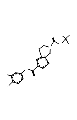 Cc1cc(NC(=O)c2ccc3c(c2)CCN(C(=O)OC(C)(C)C)C3)ccc1Br